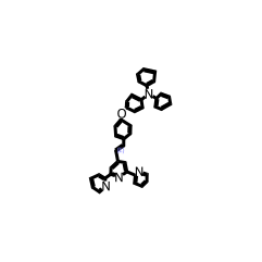 C(=C\c1cc(-c2ccccn2)nc(-c2ccccn2)c1)/c1ccc(Oc2ccc(N(c3ccccc3)c3ccccc3)cc2)cc1